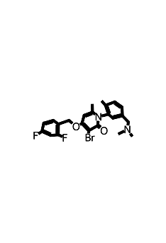 Cc1ccc(CN(C)C)cc1-n1c(C)cc(OCc2ccc(F)cc2F)c(Br)c1=O